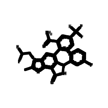 Cc1nc2c3c(c(-c4c(F)cc(C(F)(F)F)cc4C(N)=O)cc2n1CC(F)F)C(c1cc(F)ccc1Cl)NC3=O